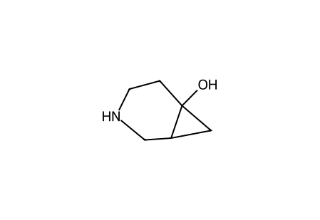 OC12CCNCC1C2